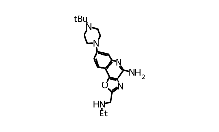 CCNCc1nc2c(N)nc3cc(N4CCN(C(C)(C)C)CC4)ccc3c2o1